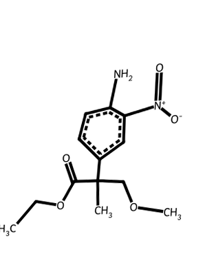 CCOC(=O)C(C)(COC)c1ccc(N)c([N+](=O)[O-])c1